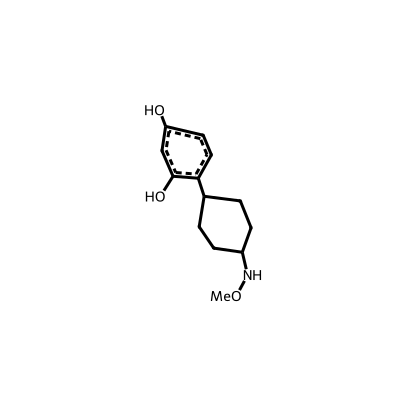 CONC1CCC(c2ccc(O)cc2O)CC1